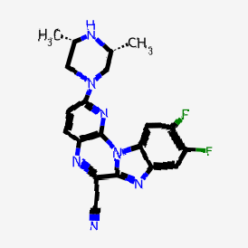 C[C@@H]1CN(c2ccc3nc(C#N)c4nc5cc(F)c(F)cc5n4c3n2)C[C@H](C)N1